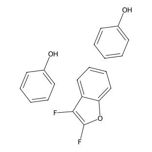 Fc1oc2ccccc2c1F.Oc1ccccc1.Oc1ccccc1